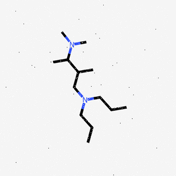 [CH2]C(C(C)CN(CCC)CCC)N(C)C